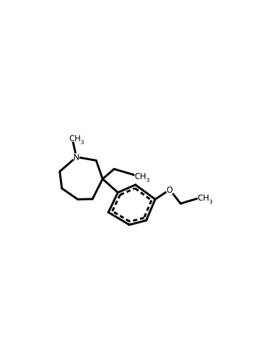 CCOc1cccc(C2(CC)CCCCN(C)C2)c1